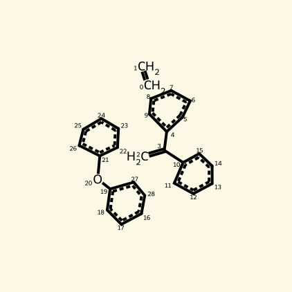 C=C.C=C(c1ccccc1)c1ccccc1.c1ccc(Oc2ccccc2)cc1